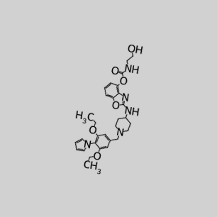 CCOc1cc(CN2CCC(Nc3nc4c(OC(=O)NCCO)cccc4o3)CC2)cc(OCC)c1-n1cccc1